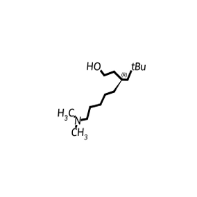 CN(C)CCCCC[C@@H](CCO)CC(C)(C)C